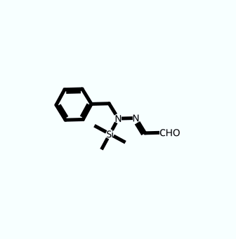 C[Si](C)(C)N(Cc1ccccc1)N=CC=O